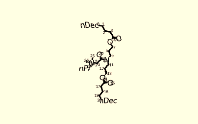 CCCCCCCCCCCCCC(=O)OCCCN(CCCOC(=O)CCCCCCCCCCCCC)C(=O)C[N+](C)(C)CCC